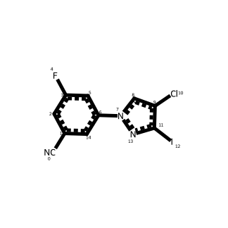 N#Cc1cc(F)cc(-n2cc(Cl)c(I)n2)c1